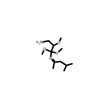 COC(C[SiH3])C(N=C(C)CC(C)C)(OC)OC